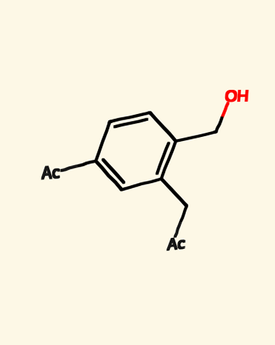 CC(=O)Cc1cc(C(C)=O)ccc1CO